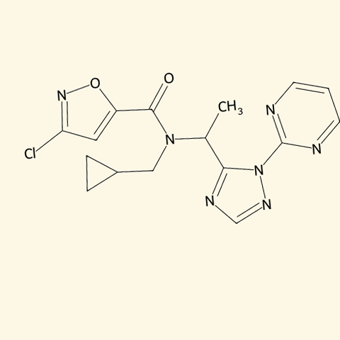 CC(c1ncnn1-c1ncccn1)N(CC1CC1)C(=O)c1cc(Cl)no1